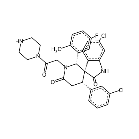 Cc1ccc(F)cc1[C@H]1N(CC(=O)N2CCNCC2)C(=O)C[C@@H](c2cccc(Cl)c2)[C@]12C(=O)Nc1cc(Cl)ccc12